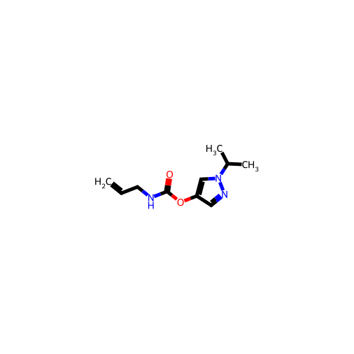 C=CCNC(=O)Oc1cnn(C(C)C)c1